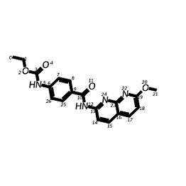 CCOC(=O)Nc1ccc(C(=O)Nc2ccc3ccc(OC)nc3n2)cc1